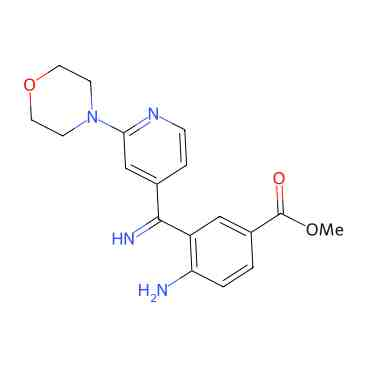 COC(=O)c1ccc(N)c(C(=N)c2ccnc(N3CCOCC3)c2)c1